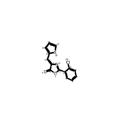 O=C1OC(c2ccccc2Cl)=NC1=Cc1cccs1